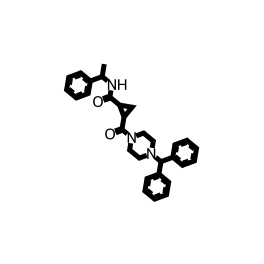 CC(NC(=O)C1CC1C(=O)N1CCN(C(c2ccccc2)c2ccccc2)CC1)c1ccccc1